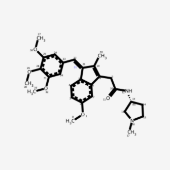 COc1ccc2c(c1)C(CC(=O)N[C@@H]1CCN(C)C1)=C(C)/C2=C/c1cc(OC)c(OC)c(OC)c1